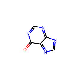 O=C1N=CN=C2N=CN=C12